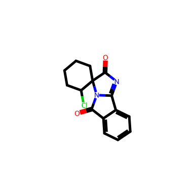 O=C1c2ccccc2C2=NC(=O)C3(CCCCC3Cl)N12